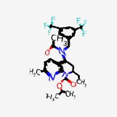 CCC1CC(N(Cc2cc(C(F)(F)F)cc(C(F)(F)F)c2)C(C)=O)c2ccc(C)nc2N1C(=O)OC(C)C